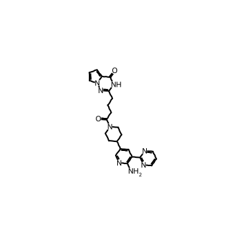 Nc1ncc(C2CCN(C(=O)CCCc3nn4cccc4c(=O)[nH]3)CC2)cc1-c1ncccn1